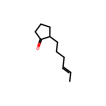 C/C=C/CCCC1CCCC1=O